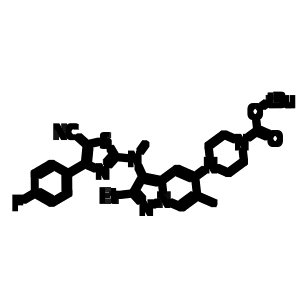 CCc1nn2cc(C)c(N3CCN(C(=O)OC(C)(C)C)CC3)cc2c1N(C)c1nc(-c2ccc(F)cc2)c(C#N)s1